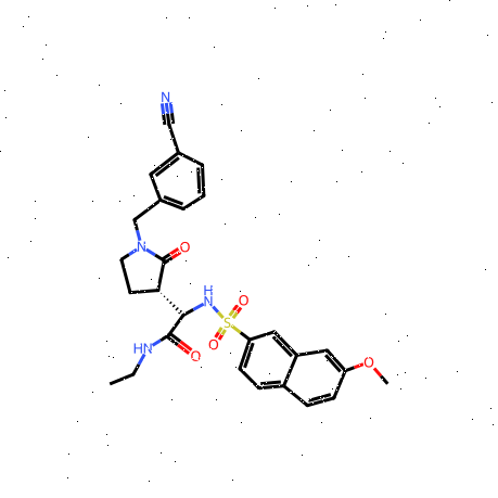 CCNC(=O)C(NS(=O)(=O)c1ccc2ccc(OC)cc2c1)[C@@H]1CCN(Cc2cccc(C#N)c2)C1=O